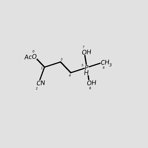 CC(=O)OC(C#N)CC[PH](C)(O)O